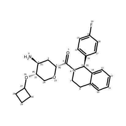 N[C@H]1C[C@H](C(=O)N2CCc3ccccc3[C@@H]2c2ccc(F)cc2)OC[C@@H]1OC1CCC1